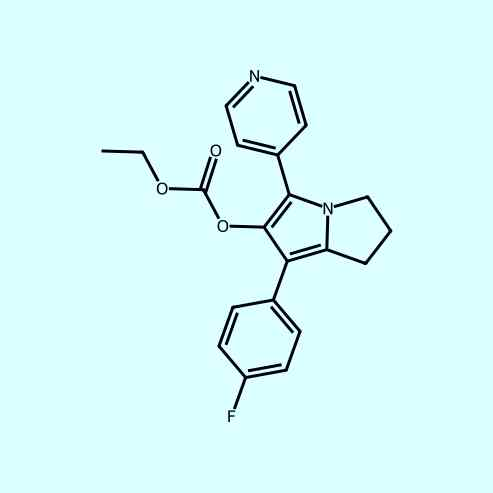 CCOC(=O)Oc1c(-c2ccc(F)cc2)c2n(c1-c1ccncc1)CCC2